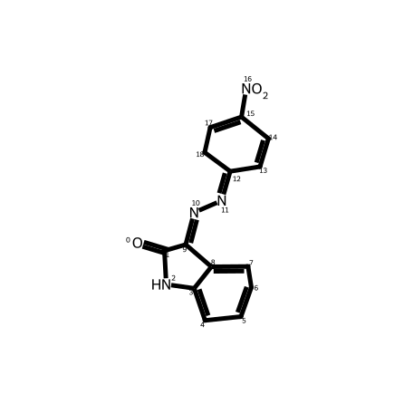 O=C1Nc2ccccc2C1=NN=C1C=CC([N+](=O)[O-])=CC1